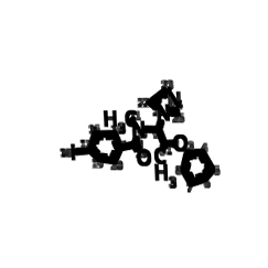 CC(Oc1ccccc1)C(N(C)C(=O)c1ccc(I)cc1)n1ccnc1